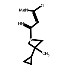 CN/C(Cl)=C\C(=N)N1CC(C)(C2CC2)C1